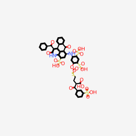 O=C(c1ccccc1)c1c2c3c(c(Nc4cc(OOSCCC(C(=O)O)C(=O)c5cccc(S(=O)(=O)O)c5)c(S(=O)(=O)O)cc4S(=O)(=O)O)cc(S(=O)(=O)O)c3[nH]c1=O)C(=O)c1ccccc1-2